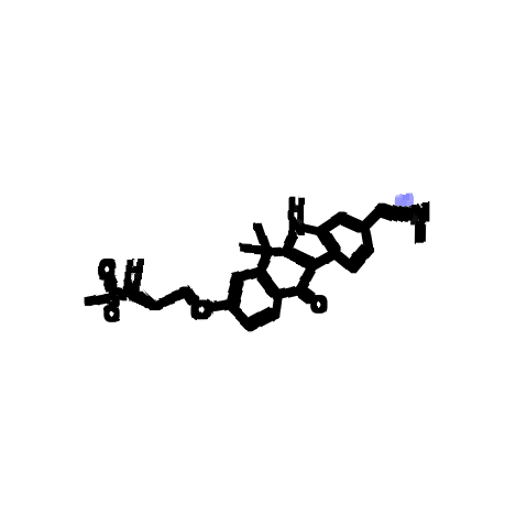 C/N=C\c1ccc2c3c([nH]c2c1)C(C)(C)c1cc(OCCNS(C)(=O)=O)ccc1C3=O